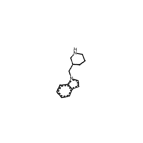 c1ccc2c(c1)ccn2CC1CCCNC1